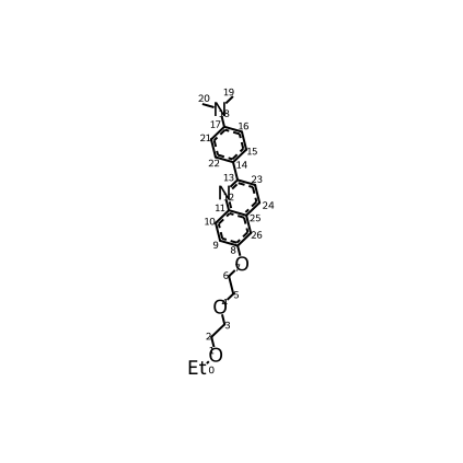 [CH2]COCCOCCOc1ccc2nc(-c3ccc(N(C)C)cc3)ccc2c1